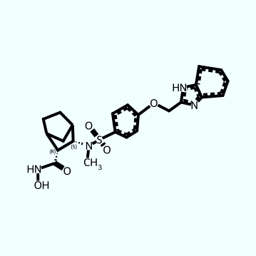 CN([C@H]1C2CCC(C2)[C@H]1C(=O)NO)S(=O)(=O)c1ccc(OCc2nc3ccccc3[nH]2)cc1